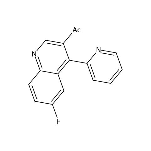 CC(=O)c1cnc2ccc(F)cc2c1-c1ccccn1